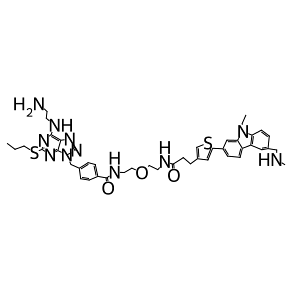 CCCSc1nc(NCCN)c2nnn(Cc3ccc(C(=O)NCCOCCNC(=O)CCc4csc(-c5ccc6c7cc(CNC)ccc7n(CC)c6c5)c4)cc3)c2n1